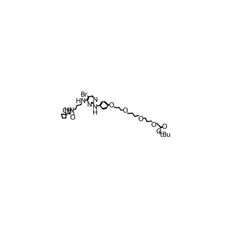 CC(C)(C)OC(=O)COCCCOCCCCOCCCOc1ccc(Nc2ncc(Br)c(NCCCNC(=O)C3(C)CCC3)n2)cc1